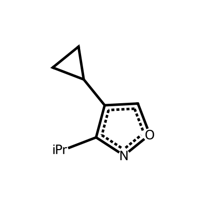 CC(C)c1nocc1C1CC1